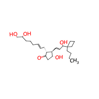 CCCCC1(C(O)C=C[C@H]2[C@H](O)CC(=O)[C@@H]2CC=CCCCC(O)CO)CCC1